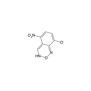 O=[N+]([O-])c1ccc(Cl)c2c1=CNON=2